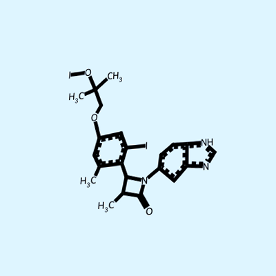 Cc1cc(OCC(C)(C)OI)cc(I)c1C1C(C)C(=O)N1c1ccc2[nH]cnc2c1